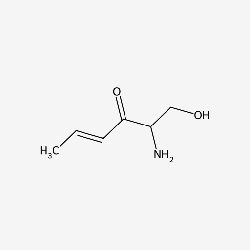 C/C=C/C(=O)C(N)CO